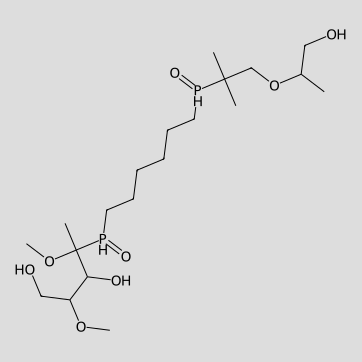 COC(CO)C(O)C(C)(OC)[PH](=O)CCCCCC[PH](=O)C(C)(C)COC(C)CO